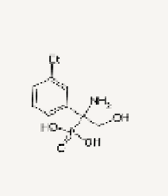 CCc1cccc(C(N)(CO)P(=O)(O)O)c1